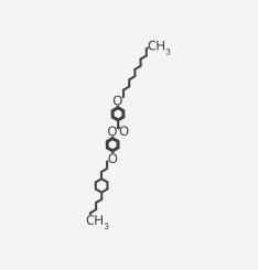 CCCCCCCCCCCOc1ccc(C(=O)Oc2ccc(OCCCC3CCC(CCCCC)CC3)cc2)cc1